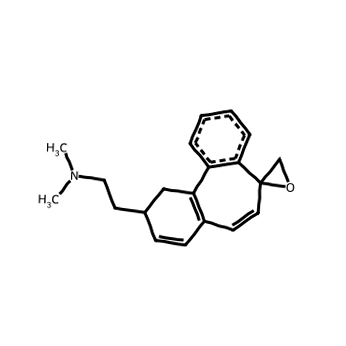 CN(C)CCC1C=CC2=C(C1)c1ccccc1C1(C=C2)CO1